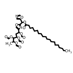 CCCCCCCCCCCCCCCCCCCC(=O)OC(c1cnco1)c1nc(C(CC(OC=O)C(OC=O)C(C)OC=O)OC=O)co1